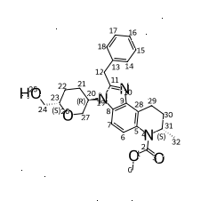 COC(=O)N1c2ccc3c(nc(Cc4ccccc4)n3[C@@H]3CC[C@@H](CO)OC3)c2CC[C@@H]1C